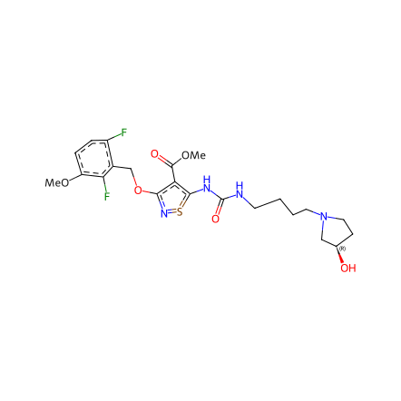 COC(=O)c1c(OCc2c(F)ccc(OC)c2F)nsc1NC(=O)NCCCCN1CC[C@@H](O)C1